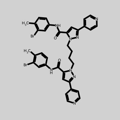 Cc1ccc(NC(=O)c2cc(-c3ccncc3)nn2CCCCn2nc(-c3ccncc3)cc2C(=O)Nc2ccc(C)c(Br)c2)cc1Br